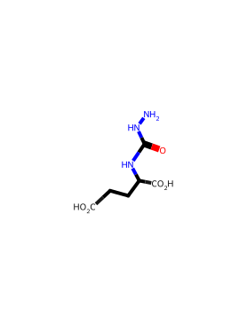 NNC(=O)NC(CCC(=O)O)C(=O)O